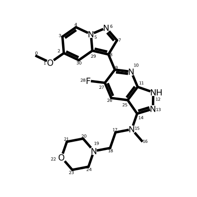 COc1ccn2ncc(-c3nc4[nH]nc(N(C)CCN5CCOCC5)c4cc3F)c2c1